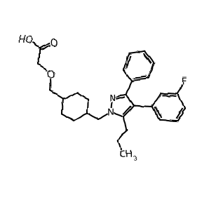 CCCc1c(-c2cccc(F)c2)c(-c2ccccc2)nn1CC1CCC(COCC(=O)O)CC1